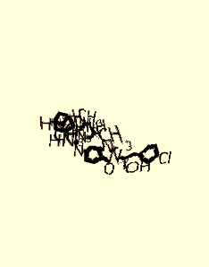 C[C@@H]1CN(C(=Nc2ccc3c(=O)n([C@H](CO)Cc4ccc(Cl)cc4)cnc3c2)NC2C[C@@H]3C[C@@H]([C@H]2C)C3(C)C)C[C@H](C)N1